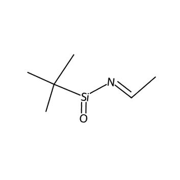 C/C=N/[Si](=O)C(C)(C)C